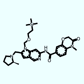 C[C@H]1CCCN1Cc1cc2cnc(NC(=O)c3ccc4c(c3)OCC(=O)N4C)cc2n1COCC[Si](C)(C)C